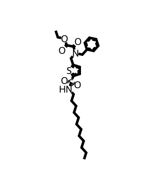 CCCCCCCCCCCCNS(=O)(=O)c1ccc(CN(Cc2ccccc2)C(=O)C(=O)OCC)s1